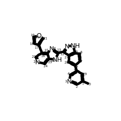 Cc1cncc(-c2ccc3[nH]nc(-c4nc5c(-c6ccoc6)cncc5[nH]4)c3c2)c1